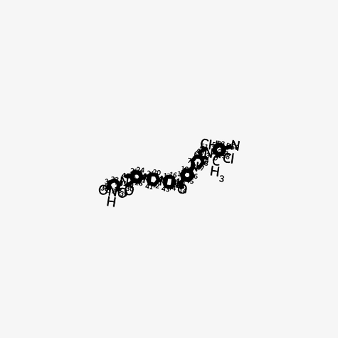 Cc1c(N2CC3(CCN(c4ccc(C(=O)N5CCN(C6CCN(c7ccc8c(c7)C(=O)N(C7CCC(=O)NC7=O)C8)CC6)CC5)cc4)CC3)C[C@@H]2C)ccc(C#N)c1Cl